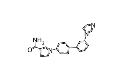 NC(=O)c1ccn(-c2ccc(-c3cccc(-n4ccnc4)c3)cc2)c1